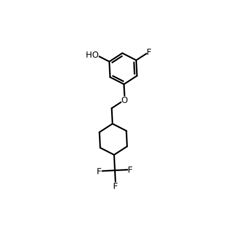 Oc1cc(F)cc(OCC2CCC(C(F)(F)F)CC2)c1